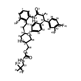 C[C@H](C(=O)Nc1cccc(F)c1CC[C@@H]1CN[C@H](COC(=O)NCC(C)(F)F)CO1)[C@H](c1ccccc1)c1ccc(F)c(F)c1